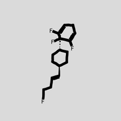 FCC/C=C/[C@H]1CC[C@H](C2(F)C(F)=CCC=C2F)CC1